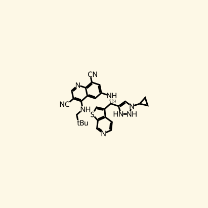 CC(C)(C)CNc1c(C#N)cnc2c(C#N)cc(N[C@H](C3=CN(C4CC4)NN3)c3csc4cnccc34)cc12